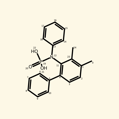 Cc1ccc(-c2ccccc2)c(N(c2ccccc2)P(=O)(O)O)c1C